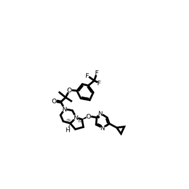 CC(C)(Oc1cccc(C(F)(F)F)c1)C(=O)N1CC[C@@H]2CC[C@H](Oc3cnc(C4CC4)cn3)N2C1